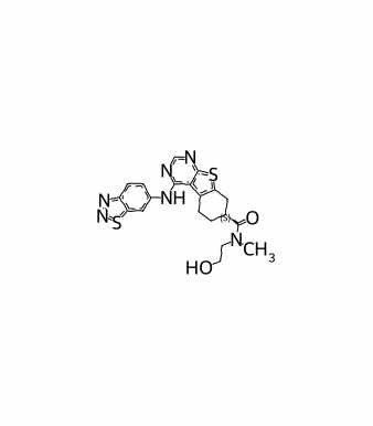 CN(CCO)C(=O)[C@H]1CCc2c(sc3ncnc(Nc4ccc5nnsc5c4)c23)C1